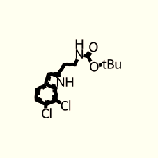 CC(C)(C)OC(=O)NCCc1cc2ccc(Cl)c(Cl)c2[nH]1